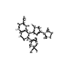 Cc1sc(C2OCCO2)cc1C1c2cc(Cl)ccc2CCN1C(=O)OC(C)(C)C